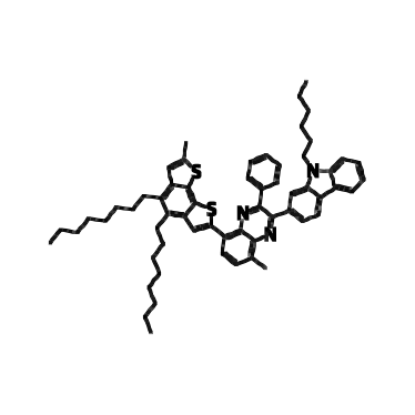 CCCCCCCCc1c(CCCCCCCC)c2cc(-c3ccc(C)c4nc(-c5ccc6c7ccccc7n(CCCCCC)c6c5)c(-c5ccccc5)nc34)sc2c2sc(C)cc12